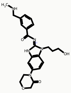 CNCc1cccc(C(=O)/N=c2\[nH]c3cc(N4CCOCC4=O)ccc3n2CCCO)c1